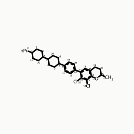 CCCC1CCC(C2CCC(c3ccc(-c4cc5c(c(Cl)c4Cl)OC(C)CC5)cc3)CC2)CC1